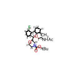 CC(=O)NCCOC(c1cccc(F)c1-c1cccc(C)c1)C1CN(C(=O)OC(C)(C)C)CCO1